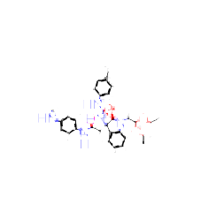 CCOC(CN1C(=O)[C@@](CC(=O)Nc2ccc(NC)cc2)(NC(=O)Nc2ccc(C)cc2)c2ccccc21)OCC